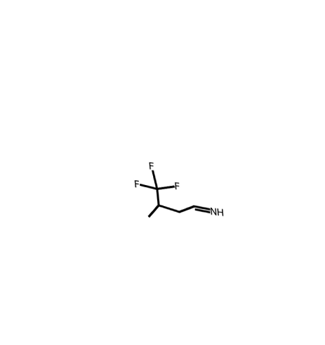 CC(CC=N)C(F)(F)F